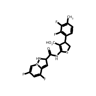 Cc1ccc(C2CSC(NC(=O)C3C=C4C(F)=CC(F)=CN4N3)=C2C(=O)O)c(F)c1F